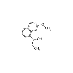 CCC(O)c1cccc2ccc(OC)cc12